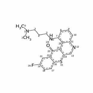 CN(C)CCCNc1cccc2ncc3sc4ccc(F)cc4c(=O)c3c12